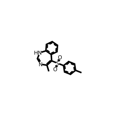 CC1=C(S(=O)(=O)c2ccc(C)cc2)c2ccccc2NC=N1